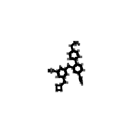 Cc1nc(Oc2cc(C#N)ccc2-c2ncc(CN)cn2)cc(OC2CCC2)n1